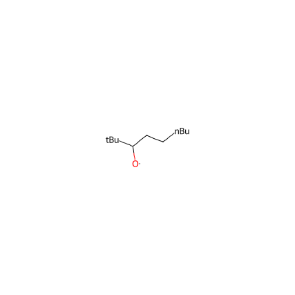 CCCCCCC([O])C(C)(C)C